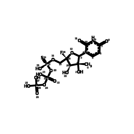 C[C@]1(O)C(n2ccc(=O)[nH]c2=O)O[C@](F)(CO[P@@](O)(=S)OP(=O)(O)OP(=O)(O)O)[C@H]1O